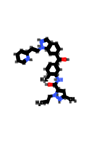 C=CCn1nc(C)cc1C(=O)Nc1cc(C(=O)c2ccc3cnn(C=Cc4ccccn4)c3c2)ccc1C